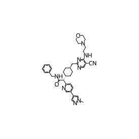 Cn1cc(-c2ccc(C(C(=O)NCc3ccccc3)[C@H]3CC[C@H](Cc4ncc(C#N)c(NCCN5CCOCC5)n4)CC3)nc2)cn1